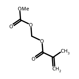 C=C(C)C(=O)OCOC(=O)OC